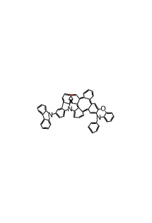 c1ccc(-n2c3ccccc3oc3cc4c5ccccc5c5ccccc5c5c(-n6c7ccccc7c7cc(-n8c9ccccc9c9ccccc98)ccc76)cccc5c4cc32)cc1